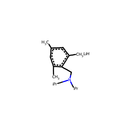 Cc1cc(C)c(CN(C(C)C)C(C)C)c(C)c1.[LiH]